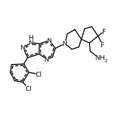 NCC1C(F)(F)CCC12CCN(c1cnc3c(-c4cccc(Cl)c4Cl)n[nH]c3n1)CC2